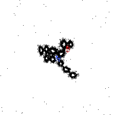 c1ccc(-c2ccc(-c3ccc(N(c4ccc(-c5cccc6c5oc5ccccc56)cc4)c4cccc5c4-c4ccccc4C54c5ccccc5-c5c(-c6ccccc6)cccc54)cc3)cc2)cc1